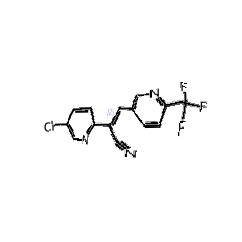 N#C/C(=C\c1ccc(C(F)(F)F)nc1)c1ccc(Cl)cn1